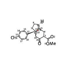 COC(=O)C1CN2C3CC[C@@H]2C[C@H](c2ccc(Cl)cc2)C3C1=O